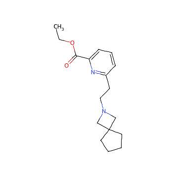 CCOC(=O)c1cccc(CCN2CC3(CCCC3)C2)n1